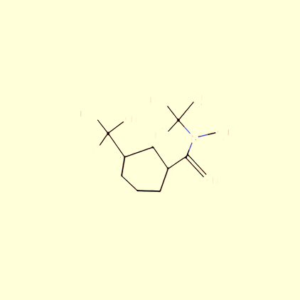 C=C(C1CCCC(C(C)(C)C)C1)N(C)C(C)(C)C